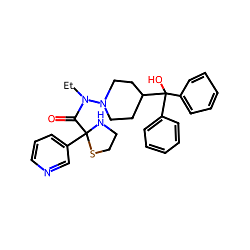 CCN(C(=O)C1(c2cccnc2)NCCS1)N1CCC(C(O)(c2ccccc2)c2ccccc2)CC1